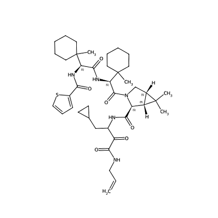 C=CCNC(=O)C(=O)C(CC1CC1)NC(=O)[C@@H]1[C@@H]2[C@H](CN1C(=O)[C@@H](NC(=O)[C@@H](NC(=O)c1cccs1)C1(C)CCCCC1)C1(C)CCCCC1)C2(C)C